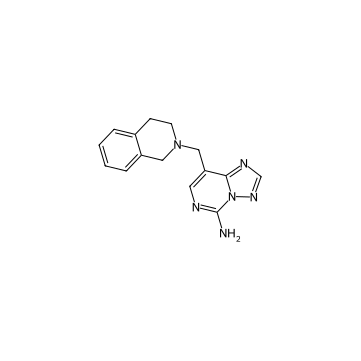 Nc1ncc(CN2CCc3ccccc3C2)c2ncnn12